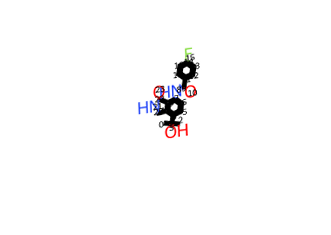 CC(C)(O)c1ccc(NC(=O)c2ccc(F)cc2)c2c1CNC2=O